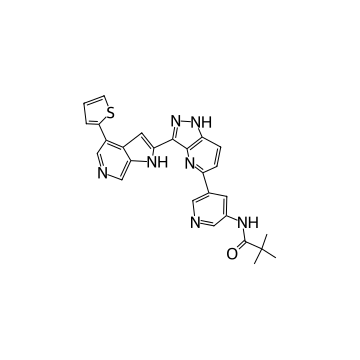 CC(C)(C)C(=O)Nc1cncc(-c2ccc3[nH]nc(-c4cc5c(-c6cccs6)cncc5[nH]4)c3n2)c1